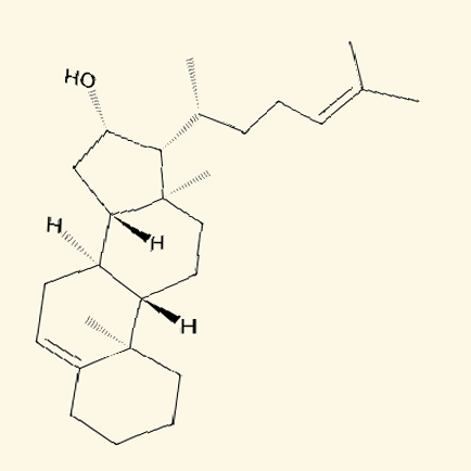 CC(C)=CCC[C@@H](C)[C@H]1[C@@H](O)C[C@H]2[C@@H]3CC=C4CCCC[C@]4(C)[C@H]3CC[C@]12C